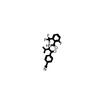 CC(C)C(NC(=O)c1c(F)cccc1C(F)(F)F)C(=O)c1ccc(C#N)cc1